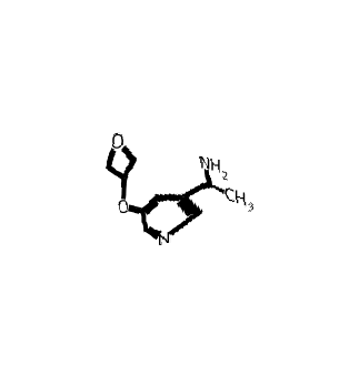 C[C@H](N)c1cncc(OC2COC2)c1